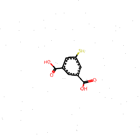 O=C(O)c1cc(S)cc(C(=O)O)c1